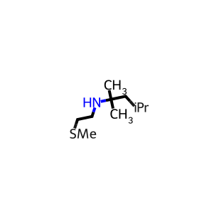 CSCCNC(C)(C)CC(C)C